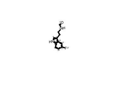 O=CNCCc1c[nH]c2ccc(F)cc12